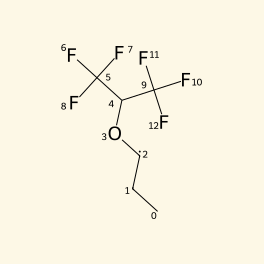 CC[CH]OC(C(F)(F)F)C(F)(F)F